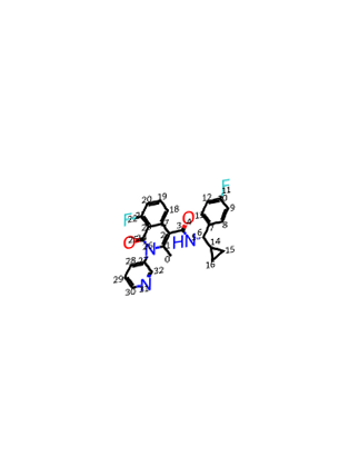 Cc1c(C(=O)N[C@H](c2ccc(F)cc2)C2CC2)c2cccc(F)c2c(=O)n1-c1cccnc1